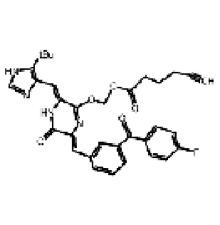 C#CCCCC(=O)OCOc1n/c(=C\c2cccc(C(=O)c3ccc(F)cc3)c2)c(=O)[nH]/c1=C\c1nc[nH]c1C(C)(C)C